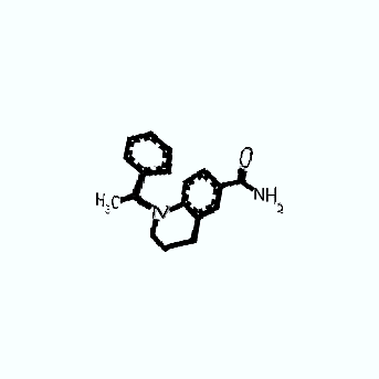 CC(c1ccccc1)N1CCCc2cc(C(N)=O)ccc21